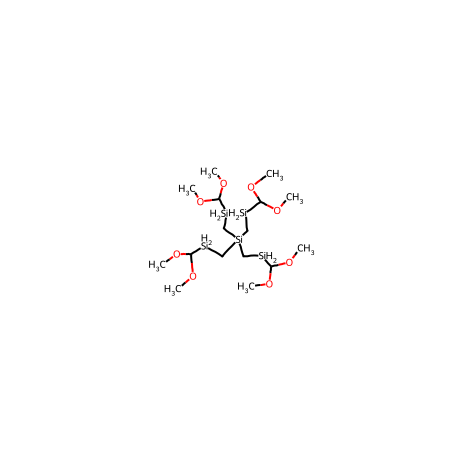 COC(OC)[SiH2]C[Si](C[SiH2]C(OC)OC)(C[SiH2]C(OC)OC)C[SiH2]C(OC)OC